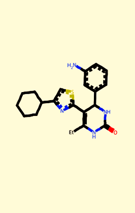 CCC1=C(c2nc(C3CCCCC3)cs2)C(c2cccc(N)c2)NC(=O)N1